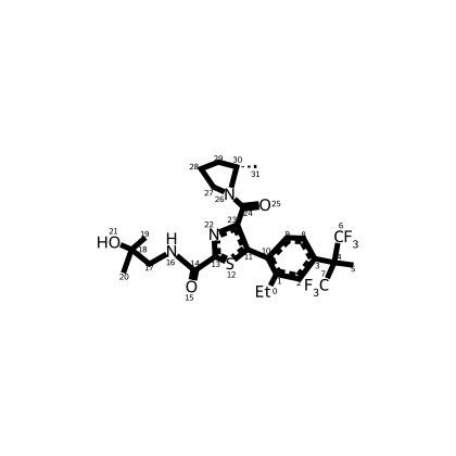 CCc1cc(C(C)(C(F)(F)F)C(F)(F)F)ccc1-c1sc(C(=O)NCC(C)(C)O)nc1C(=O)N1CCC[C@@H]1C